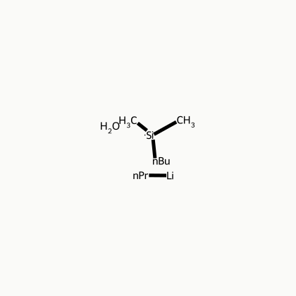 CCCC[Si](C)C.O.[Li][CH2]CC